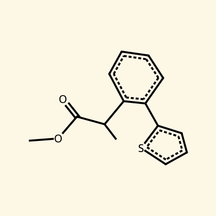 COC(=O)C(C)c1ccccc1-c1cccs1